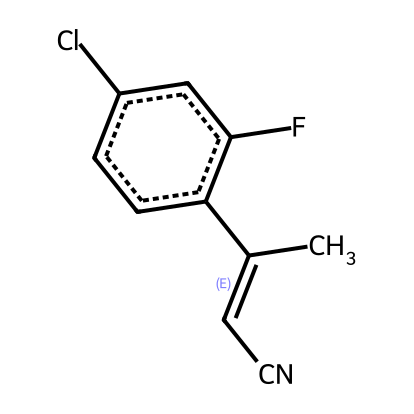 C/C(=C\C#N)c1ccc(Cl)cc1F